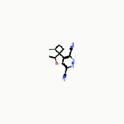 CC(Br)C1(c2cc(C#N)nnc2C#N)CCC1C